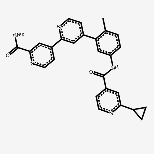 CNC(=O)c1cc(-c2cc(-c3cc(NC(=O)c4ccnc(C5CC5)c4)ccc3C)ccn2)ccn1